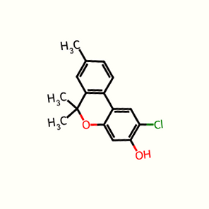 Cc1ccc2c(c1)C(C)(C)Oc1cc(O)c(Cl)cc1-2